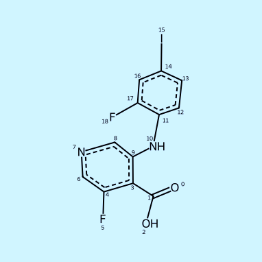 O=C(O)c1c(F)cncc1Nc1ccc(I)cc1F